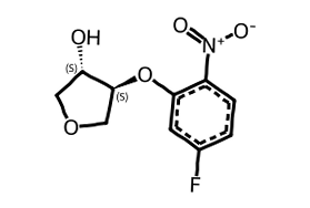 O=[N+]([O-])c1ccc(F)cc1O[C@H]1COC[C@@H]1O